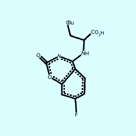 CC(C)(C)CC(Nc1nc(=O)oc2cc(F)ccc12)C(=O)O